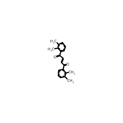 Cc1cccc(C(=O)/C=C/C(=O)c2cccc(C)c2C)c1C